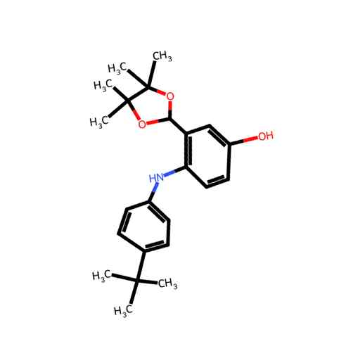 CC(C)(C)c1ccc(Nc2ccc(O)cc2C2OC(C)(C)C(C)(C)O2)cc1